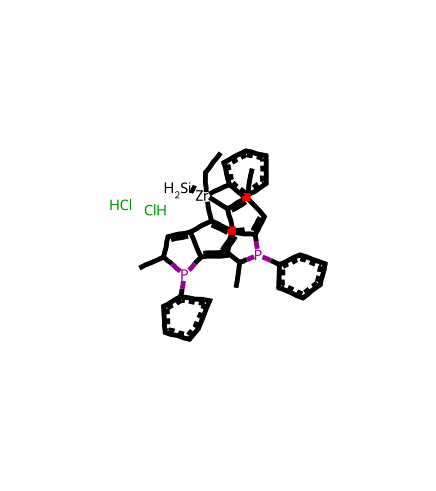 C[CH2][Zr](=[SiH2])([C]1=C(C)C=C2C1=CC(C)P2c1ccccc1)([C]1=C(C)C=C2C1=CC(C)P2c1ccccc1)[c]1ccccc1.Cl.Cl